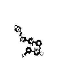 N#Cc1cccc(-c2ccc(=O)n(Cc3cccc(-c4ncc(-c5cnn(CCN6CCOCC6)c5)cn4)c3)n2)c1